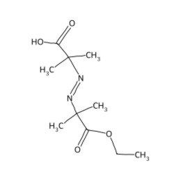 CCOC(=O)C(C)(C)N=NC(C)(C)C(=O)O